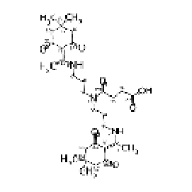 CC(NCCCN(CCCNC(C)=C1C(=O)CC(C)(C)CC1=O)C(=O)CCC(=O)O)=C1C(=O)CC(C)(C)CC1=O